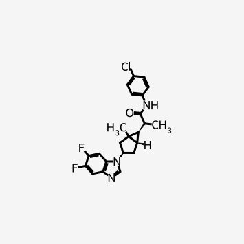 CC(C(=O)Nc1ccc(Cl)cc1)[C@H]1[C@@H]2C[C@@H](n3cnc4cc(F)c(F)cc43)CC21C